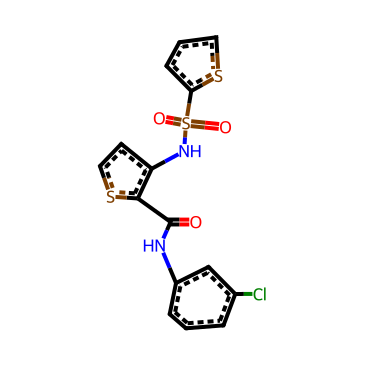 O=C(Nc1cccc(Cl)c1)c1sccc1NS(=O)(=O)c1cccs1